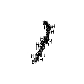 O=C(CBr)NCCCCC(NC(=O)COCCOCCNC(=O)CCC(NC(=O)CCC(NC(=O)COCCOCCNC(=O)CCCS(=O)(=O)NC(=O)CCCc1ncn[nH]1)C(=O)O)C(=O)O)C(=O)O